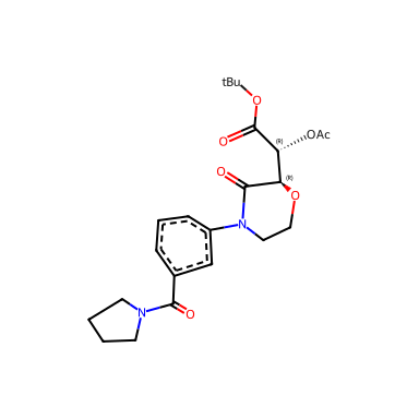 CC(=O)O[C@@H](C(=O)OC(C)(C)C)[C@H]1OCCN(c2cccc(C(=O)N3CCCC3)c2)C1=O